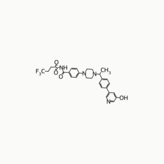 CC(c1ccc(-c2cncc(O)c2)cc1)N1CCN(c2ccc(C(=O)NS(=O)(=O)CCC(F)(F)F)cc2)CC1